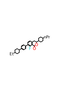 CCCC1CCC(C2Cc3ccc(-c4ccc(C5CCC(CC)CC5)cc4)c(F)c3C(=O)O2)CC1